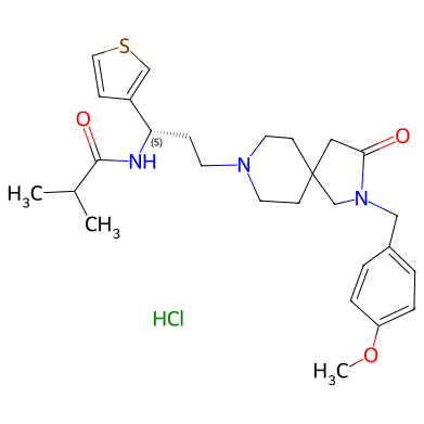 COc1ccc(CN2CC3(CCN(CC[C@H](NC(=O)C(C)C)c4ccsc4)CC3)CC2=O)cc1.Cl